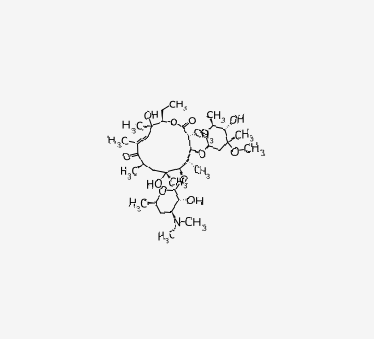 CC[C@H]1OC(=O)[C@H](C)[C@@H](OC2C[C@@](C)(OC)[C@@H](O)[C@H](C)O2)[C@H](C)[C@@H](OC2O[C@H](C)C[C@H](N(C)C)[C@H]2O)[C@](C)(O)C[C@@H](C)C(=O)/C(C)=C/[C@]1(C)O